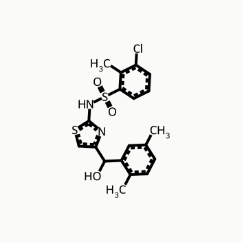 Cc1ccc(C)c(C(O)c2csc(NS(=O)(=O)c3cccc(Cl)c3C)n2)c1